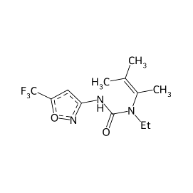 CCN(C(=O)Nc1cc(C(F)(F)F)on1)C(C)=C(C)C